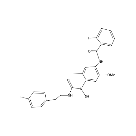 COc1cc(N(S)C(=O)NCCc2ccc(F)cc2)c(C)cc1NC(=O)c1ccccc1F